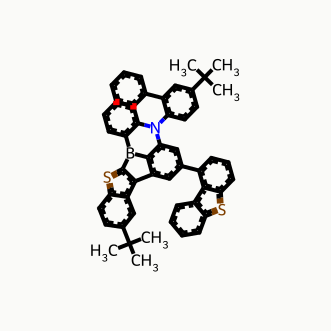 CC(C)(C)c1ccc(N2c3ccccc3B3c4sc5ccc(C(C)(C)C)cc5c4-c4cc(-c5cccc6sc7ccccc7c56)cc2c43)c(-c2ccccc2)c1